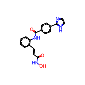 O=C(C=Cc1ccccc1NC(=O)c1ccc(-c2ncc[nH]2)cc1)NO